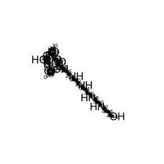 C[C@H]1C[C@@H](O)[C@@H](COP(=O)(O)O[C@@H]2C[C@H](C)O[C@@H]2COP(=O)(O)OCCCCNCCCNCCCCNCCCNCCCCO)O1